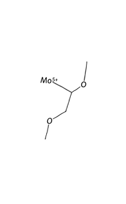 COC[CH]([Mo+5])OC